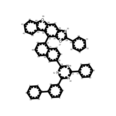 c1ccc(-c2cccc(-c3nc(-c4ccccc4)nc(-c4ccc5c(-c6c7oc(-c8ccccc8)nc7cc7oc8ccccc8c67)cccc5c4)n3)c2)cc1